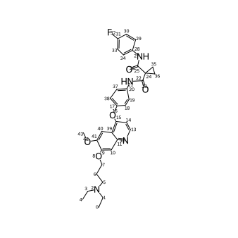 CCN(CC)CCCOc1cc2nccc(Oc3ccc(NC(=O)C4(C(=O)Nc5ccc(F)cc5)CC4)cc3)c2cc1OC